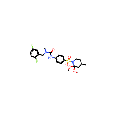 COC1(OC)CC(C)CCN1S(=O)(=O)c1ccc(NC(=O)N(C)Cc2cc(F)ccc2F)cc1